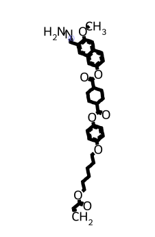 C=CC(=O)OCCCCCCOc1ccc(OC(=O)C2CCC(C(=O)Oc3ccc4cc(OC)c(/C=N/N)cc4c3)CC2)cc1